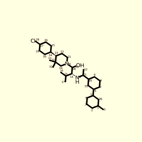 CC1CCCC(C2CCCC(C(C)N[C@H](C(C)C)C(O)N3CC[C@H](C4CCC(Cl)CC4)C(C)(C)C3)C2)C1